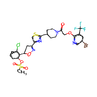 CS(=O)(=O)Oc1cccc(Cl)c1C1CC(c2csc(C3CCN(C(=O)COc4ncc(Br)cc4C(F)(F)F)CC3)n2)=NO1